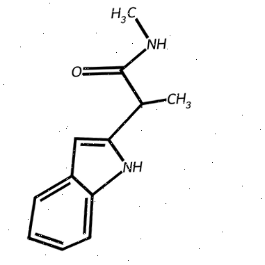 CNC(=O)[C](C)c1cc2ccccc2[nH]1